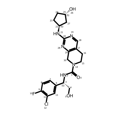 O=C(N[C@H](CO)c1ccc(F)c(Cl)c1)N1CCc2cnc(N[C@H]3CC[C@H](O)C3)nc2C1